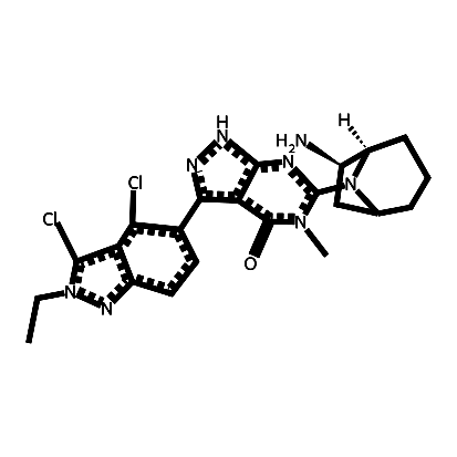 CCn1nc2ccc(-c3n[nH]c4nc(N5C6CCC[C@@H]5[C@H](N)C6)n(C)c(=O)c34)c(Cl)c2c1Cl